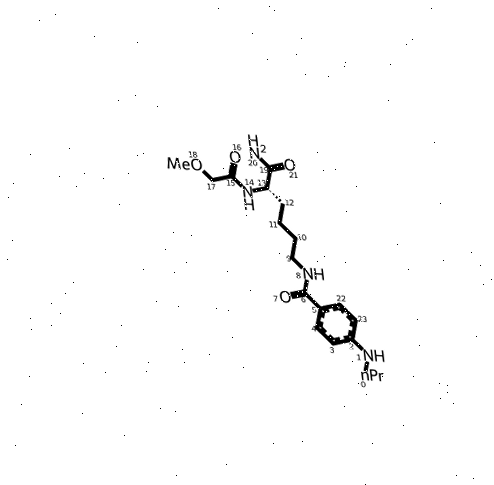 CCCNc1ccc(C(=O)NCCCC[C@H](NC(=O)COC)C(N)=O)cc1